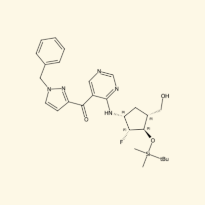 CC(C)(C)[Si](C)(C)O[C@@H]1[C@@H](CO)C[C@@H](Nc2ncncc2C(=O)c2ccn(Cc3ccccc3)n2)[C@H]1F